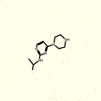 CC(C)Nc1nccc(N2CCNCC2)n1